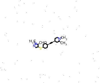 Cc1cc(C#Cc2ccc(Sc3cnn(C)c3C=O)cc2)cc[n+]1C